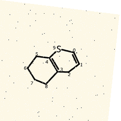 [C]1=CCC2=C(CCCC2)S1